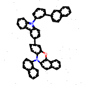 c1cc(-c2ccc3ccccc3c2)cc(-n2c3ccccc3c3cc(-c4ccc5c(c4)Oc4c(ccc6ccccc46)N5c4cccc5ccccc45)ccc32)c1